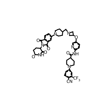 N#Cc1ccc(N2CCC(C(=O)Nc3ccc(OC4CN(CC5CCN(c6ccc7c(c6)C(=O)N(C6CCC(=O)NC6=O)C7=O)CC5)C4)cn3)CC2)cc1C(F)(F)F